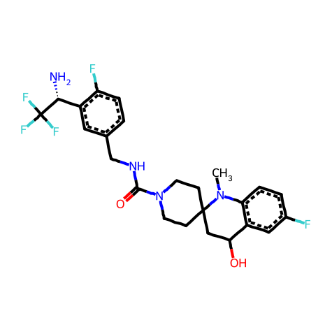 CN1c2ccc(F)cc2C(O)CC12CCN(C(=O)NCc1ccc(F)c([C@@H](N)C(F)(F)F)c1)CC2